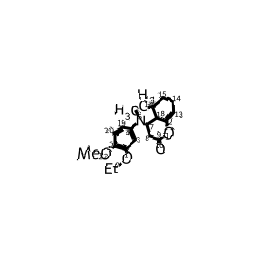 CCOc1cc(N(C)C2CC(=O)OC3=CCCC(C)C32)ccc1OC